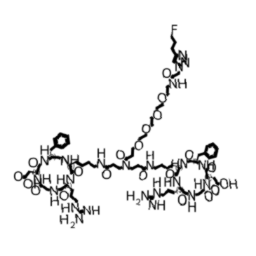 N=C(N)NCCC[C@@H]1NC(=O)[C@H](CCCCNC(=O)CCN(CCC(=O)NCCCC[C@@H]2NC(=O)[C@@H](Cc3ccccc3)NC(=O)[C@H](CC(=O)O)NC(=O)CNC(=O)[C@H](CCCNC(=N)N)NC2=O)C(=O)CCOCCOCCOCCOCCNC(=O)Cn2cc(CCCF)nn2)NC[C@@H](Cc2ccccc2)NC(=O)[C@H](CC(=O)O)NC(=O)CNC1=O